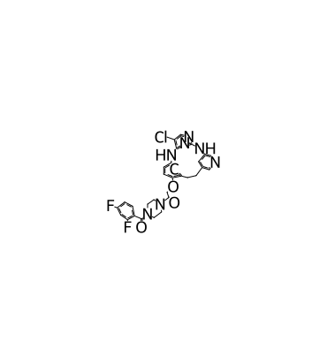 O=C(COc1ccc2cc1CCc1cncc(c1)Nc1ncc(Cl)c(n1)N2)N1CCN(C(=O)c2ccc(F)cc2F)CC1